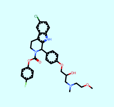 COCCN(C)CC(O)COc1ccc(C2c3[nH]c4ccc(Cl)cc4c3CCN2C(=O)Oc2ccc(F)cc2)cc1